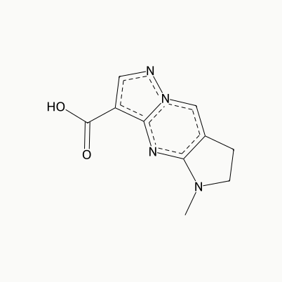 CN1CCc2cn3ncc(C(=O)O)c3nc21